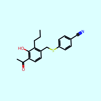 CCCc1c(CSc2ccc(C#N)cc2)ccc(C(C)=O)c1O